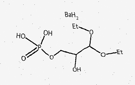 CCOC(OCC)C(O)COP(=O)(O)O.[BaH2]